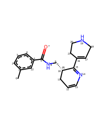 Cc1cccc(C(=O)NC[C@H]2CC=CN=C2C2=CCNCC2)c1